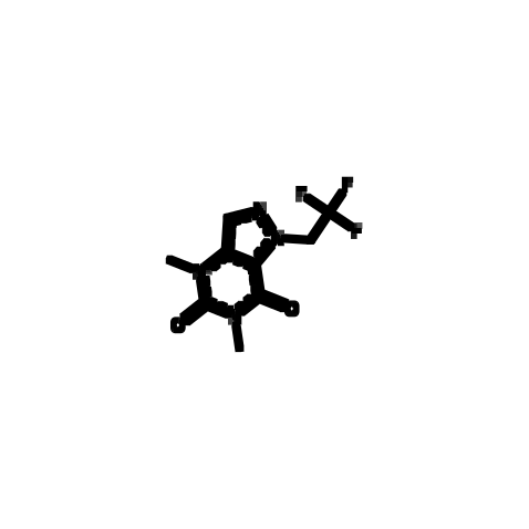 Cn1c(=O)c2c(cnn2CC(F)(F)F)n(C)c1=O